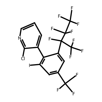 FC(F)(F)c1[c]c(I)c(-c2cccnc2Cl)c(C(F)(C(F)(F)F)C(F)(F)C(F)(F)F)c1